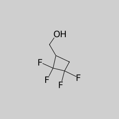 OCC1CC(F)(F)C1(F)F